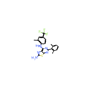 Cc1cc(C(F)(F)F)ccc1Nc1nc(-c2c(C)cccc2C)nc2sc(N)nc12